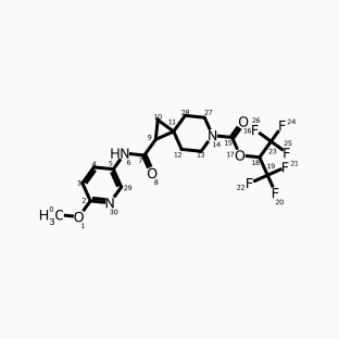 COc1ccc(NC(=O)C2CC23CCN(C(=O)OC(C(F)(F)F)C(F)(F)F)CC3)cn1